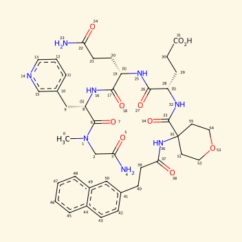 CN(CC(N)=O)C(=O)[C@H](Cc1cccnc1)NC(=O)[C@H](CCC(N)=O)NC(=O)[C@H](CCC(=O)O)NC(=O)C1(NC(=O)CCc2ccc3ccccc3c2)CCOCC1